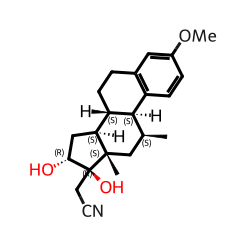 COc1ccc2c(c1)CC[C@@H]1[C@@H]2[C@@H](C)C[C@@]2(C)[C@H]1C[C@@H](O)[C@@]2(O)CC#N